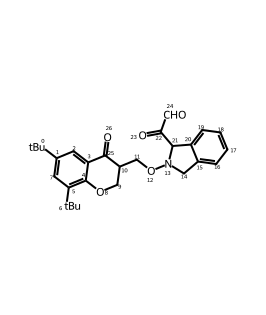 CC(C)(C)c1cc2c(c(C(C)(C)C)c1)OCC(CON1Cc3ccccc3C1C(=O)C=O)C2=O